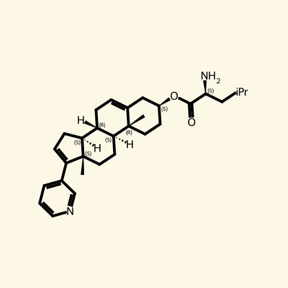 CC(C)C[C@H](N)C(=O)O[C@H]1CC[C@@]2(C)C(=CC[C@@H]3[C@@H]2CC[C@]2(C)C(c4cccnc4)=CC[C@@H]32)C1